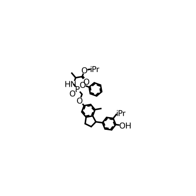 Cc1cc(OCP(=O)(NC(C)C(=O)OC(C)C)Oc2ccccc2)cc2c1C(c1ccc(O)c(C(C)C)c1)CC2